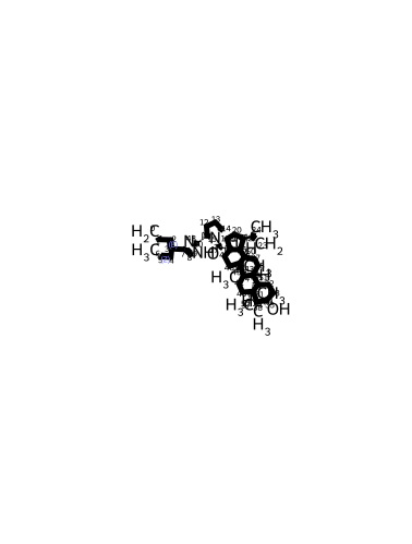 C=C/C=C(\C=C/C)c1c[nH]c([C@@H]2CCCN2C(=O)[C@]23CC[C@@H](C(=C)C)[C@@H]2[C@H]2CC[C@@H]4[C@@]5(C)CC[C@H](O)C(C)(C)[C@@H]5CC[C@@]4(C)[C@]2(C)CC3)n1